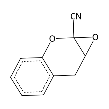 N#CC12Oc3ccccc3CC1O2